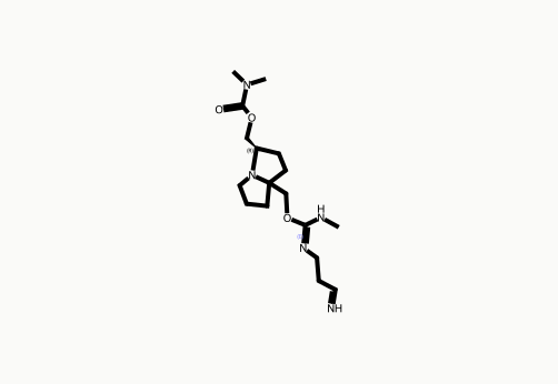 CN/C(=N\CCC=N)OCC12CCCN1[C@@H](COC(=O)N(C)C)CC2